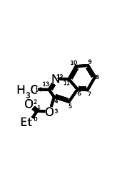 CCC(=O)Oc1cc2ccccc2nc1C